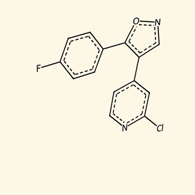 Fc1ccc(-c2oncc2-c2ccnc(Cl)c2)cc1